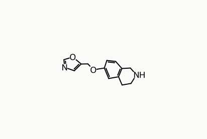 c1ncc(COc2ccc3c(c2)CCNC3)o1